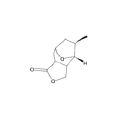 C[C@@H]1CC2O[C@H]1C1COC(=O)C21